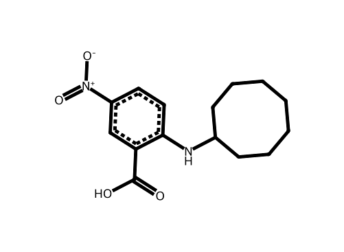 O=C(O)c1cc([N+](=O)[O-])ccc1NC1CCCCCCC1